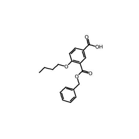 CCCCOc1ccc(C(=O)O)cc1C(=O)OCc1ccccc1